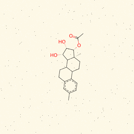 CC(=O)O[C@H]1[C@@H](O)[C@@H](O)C2C3CCc4cc(C)ccc4C3CC[C@@]21C